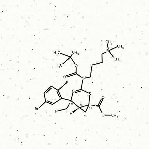 COC(=O)[C@@]12C[C@@H]1[C@@](CF)(c1cc(Br)ccc1F)N=C(N(COCC[Si](C)(C)C)C(=O)OC(C)(C)C)S2